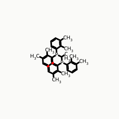 Cc1cccc(P(c2cccc(C)c2C)C(C)P(c2cccc(C)c2C)c2cccc(C)c2C)c1C